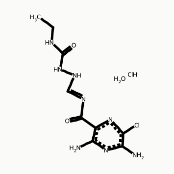 CCNC(=O)NNC=NC(=O)c1nc(Cl)c(N)nc1N.Cl.O